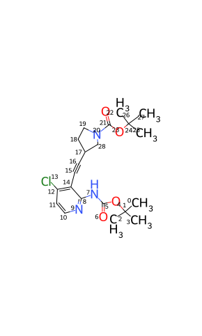 CC(C)(C)OC(=O)Nc1nccc(Cl)c1C#CC1CCN(C(=O)OC(C)(C)C)C1